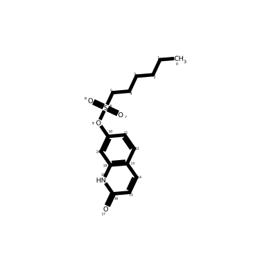 CCCCCCS(=O)(=O)Oc1ccc2ccc(=O)[nH]c2c1